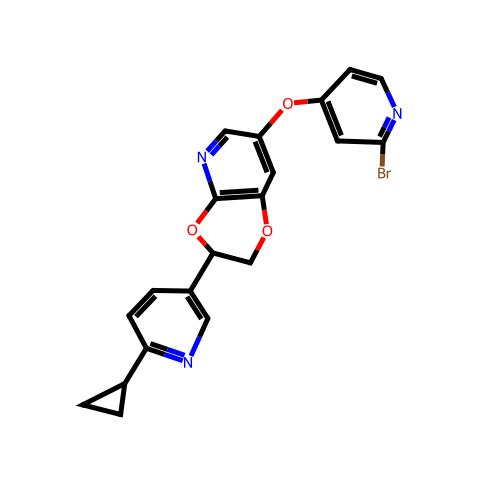 Brc1cc(Oc2cnc3c(c2)OCC(c2ccc(C4CC4)nc2)O3)ccn1